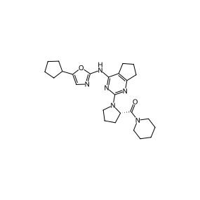 O=C([C@@H]1CCCN1c1nc2c(c(Nc3ncc(C4CCCC4)o3)n1)CCC2)N1CCCCC1